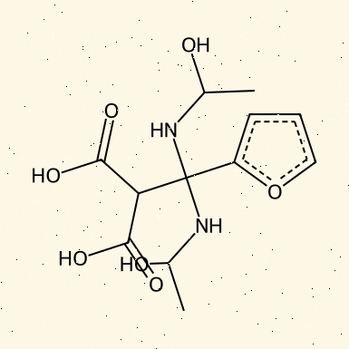 CC(O)NC(NC(C)O)(c1ccco1)C(C(=O)O)C(=O)O